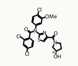 COc1cc(N(C(=O)c2ccc(Cl)cc2Cl)c2nc(C(=O)N3CC[C@@H](O)C3)cs2)ccc1Cl